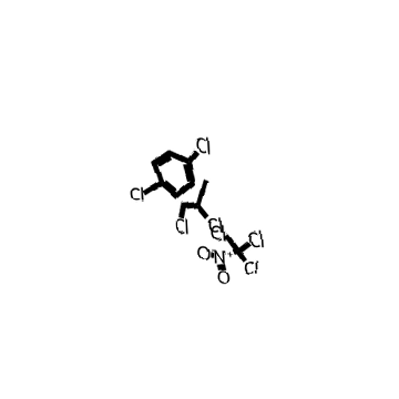 CC(Cl)CCl.Clc1ccc(Cl)cc1.O=[N+]([O-])C(Cl)(Cl)Cl